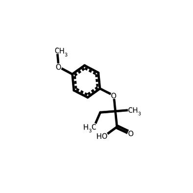 CCC(C)(Oc1ccc(OC)cc1)C(=O)O